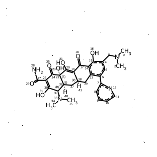 CN(C)Cc1cc(-c2ccccn2)c2c(c1O)C(=O)C1=C(O)[C@]3(O)C(=O)C(C(N)=O)=C(O)[C@H](N(C)C)[C@@H]3C[C@@H]1C2